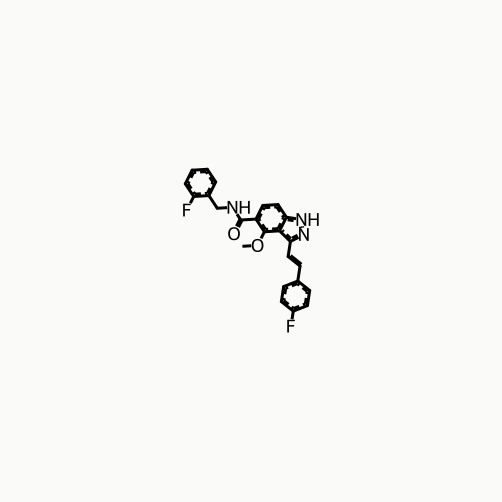 COc1c(C(=O)NCc2ccccc2F)ccc2[nH]nc(/C=C/c3ccc(F)cc3)c12